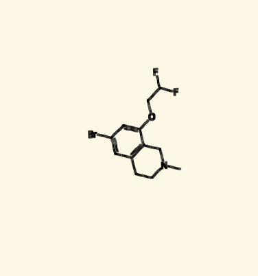 CN1CCc2cc(Br)cc(OCC(F)F)c2C1